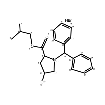 Br.CC(C)COC(=O)C1CC(O)CN1C(c1ccccc1)c1ccccc1